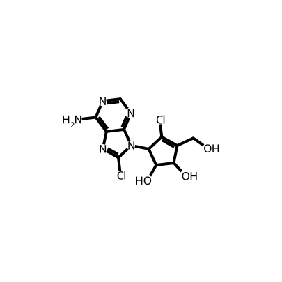 Nc1ncnc2c1nc(Cl)n2C1C(Cl)=C(CO)C(O)C1O